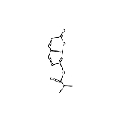 C=C(C)C(=O)Oc1ccc2ccc(=O)oc2c1